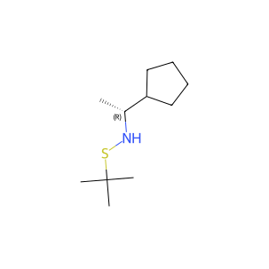 C[C@@H](NSC(C)(C)C)C1CCCC1